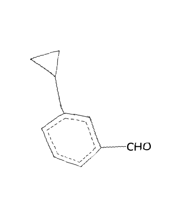 O=Cc1cccc(C2CC2)c1